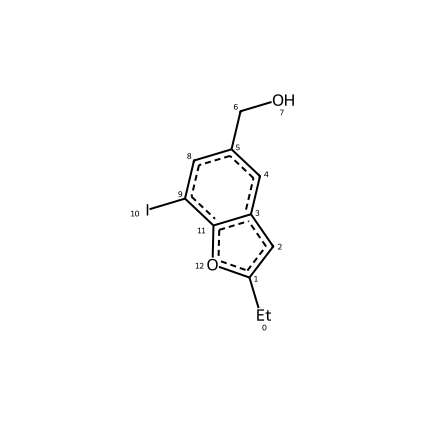 CCc1cc2cc(CO)cc(I)c2o1